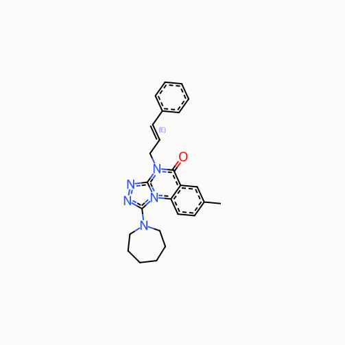 Cc1ccc2c(c1)c(=O)n(C/C=C/c1ccccc1)c1nnc(N3CCCCCC3)n21